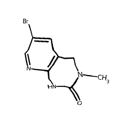 CN1Cc2cc(Br)cnc2NC1=O